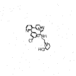 O=C(NCCCN1CCCC1O)c1cnc2ccc(-c3cccnc3-c3cccc(Cl)c3)cn12